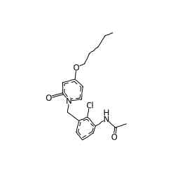 CCCCCOc1ccn(Cc2cccc(NC(C)=O)c2Cl)c(=O)c1